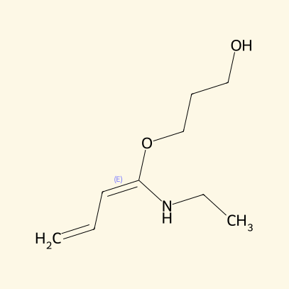 C=C/C=C(\NCC)OCCCO